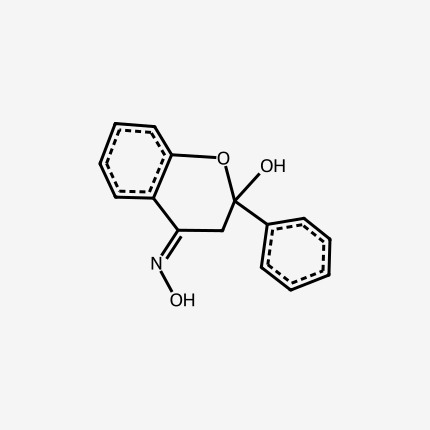 ON=C1CC(O)(c2ccccc2)Oc2ccccc21